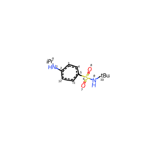 CC(C)Nc1ccc(S(=O)(=O)NC(C)(C)C)cc1